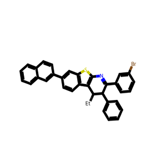 CCC1c2c(sc3cc(-c4ccc5ccccc5c4)ccc23)N=C(c2cccc(Br)c2)C1c1ccccc1